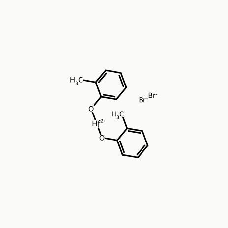 Cc1ccccc1[O][Hf+2][O]c1ccccc1C.[Br-].[Br-]